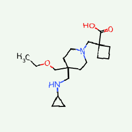 CCOCC1(CNC2CC2)CCN(CC2(C(=O)O)CCC2)CC1